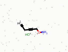 C#CCC#CCON.Cl